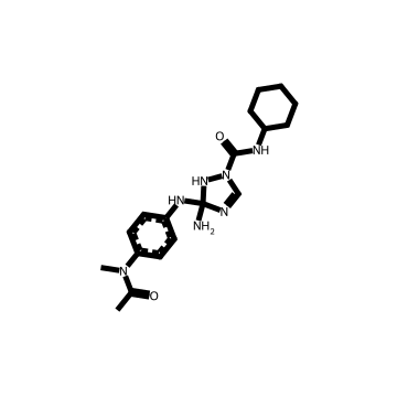 CC(=O)N(C)c1ccc(NC2(N)N=CN(C(=O)NC3CCCCC3)N2)cc1